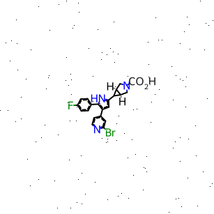 O=C(O)N1C[C@@H]2C(c3cc(-c4ccnc(Br)c4)c(-c4ccc(F)cc4)[nH]3)[C@@H]2C1